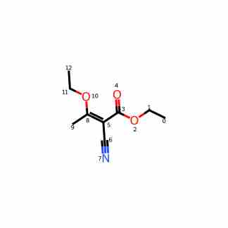 CCOC(=O)/C(C#N)=C(/C)OCC